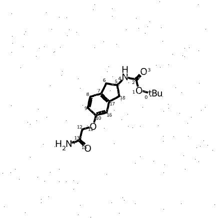 CC(C)(C)OC(=O)NC1Cc2ccc(OCC(N)=O)cc2C1